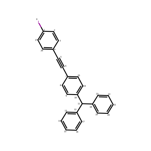 Ic1ccc(C#Cc2ccc(C(c3ccccc3)c3ccccc3)cc2)cc1